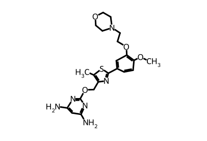 COc1ccc(-c2nc(COc3nc(N)cc(N)n3)c(C)s2)cc1OCCN1CCOCC1